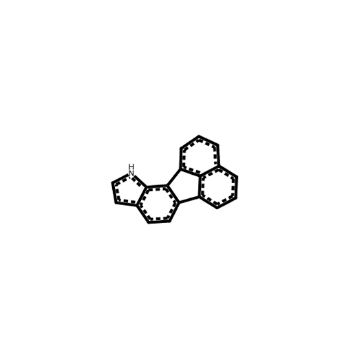 c1cc2c3c(cccc3c1)-c1c-2ccc2cc[nH]c12